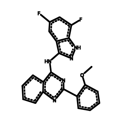 COc1ccccc1-c1nc(Nc2n[nH]c3c(F)cc(F)cc23)c2ccccc2n1